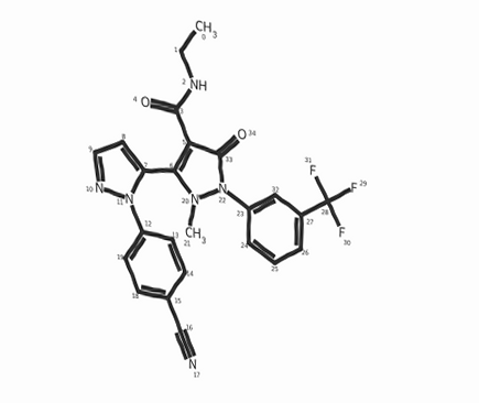 CCNC(=O)c1c(-c2ccnn2-c2ccc(C#N)cc2)n(C)n(-c2cccc(C(F)(F)F)c2)c1=O